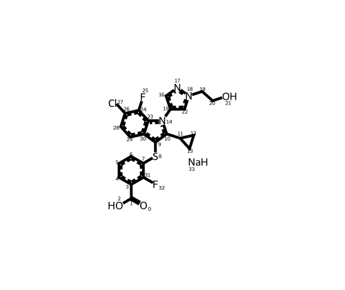 O=C(O)c1cccc(Sc2c(C3CC3)n(-c3cnn(CCO)c3)c3c(F)c(Cl)ccc23)c1F.[NaH]